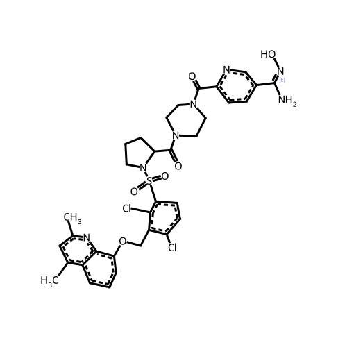 Cc1cc(C)c2cccc(OCc3c(Cl)ccc(S(=O)(=O)N4CCCC4C(=O)N4CCN(C(=O)c5ccc(/C(N)=N\O)cn5)CC4)c3Cl)c2n1